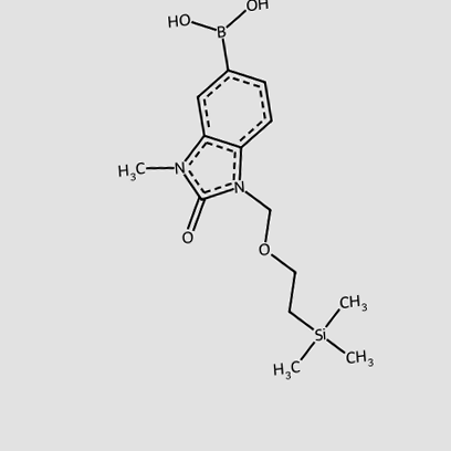 Cn1c(=O)n(COCC[Si](C)(C)C)c2ccc(B(O)O)cc21